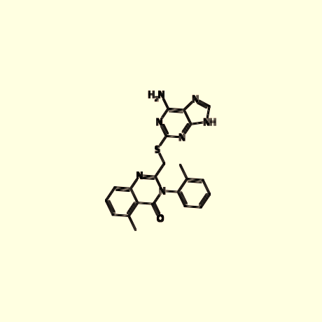 Cc1ccccc1-n1c(CSc2nc(N)c3nc[nH]c3n2)nc2cccc(C)c2c1=O